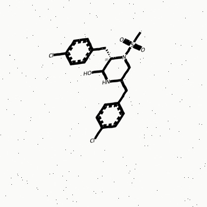 CS(=O)(=O)N1CC(Cc2ccc(Cl)cc2)NC(O)[C@@H]1Cc1ccc(Cl)cc1